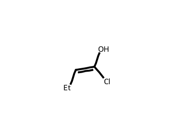 CCC=C(O)Cl